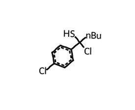 CCCCC(S)(Cl)c1ccc(Cl)cc1